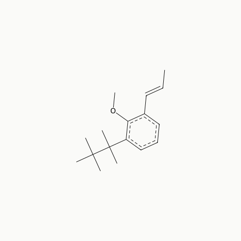 CC=Cc1cccc(C(C)(C)C(C)(C)C)c1OC